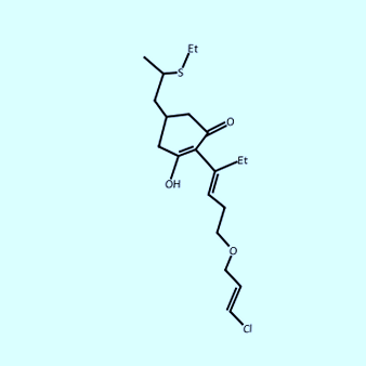 CCSC(C)CC1CC(=O)C(/C(=C/CCOC/C=C/Cl)CC)=C(O)C1